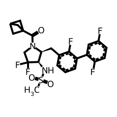 CS(=O)(=O)N[C@@H]1[C@H](Cc2cccc(-c3cc(F)ccc3F)c2F)N(C(=O)C23CC(C2)C3)CC1(F)F